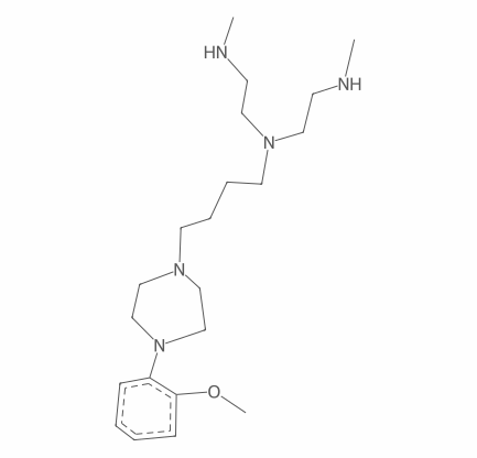 CNCCN(CCCCN1CCN(c2ccccc2OC)CC1)CCNC